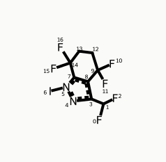 FC(F)c1nn(I)c2c1C(F)(F)CCC2(F)F